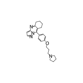 c1cc2nc3c(c(-c4ccc(OCCCN5CCCC5)cc4)n2n1)CCCC3